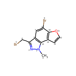 Cn1nc(CBr)c2cc(Br)c3occc3c21